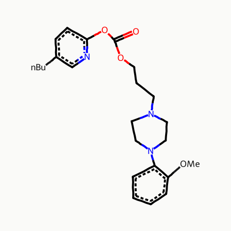 CCCCc1ccc(OC(=O)OCCCN2CCN(c3ccccc3OC)CC2)nc1